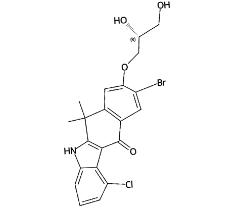 CC1(C)c2cc(OC[C@H](O)CO)c(Br)cc2C(=O)c2c1[nH]c1cccc(Cl)c21